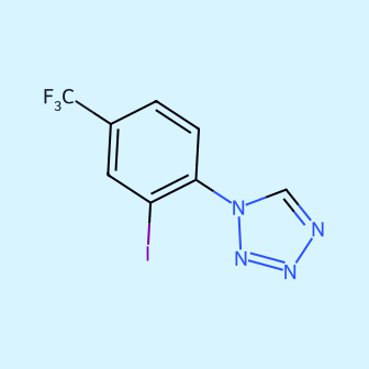 FC(F)(F)c1ccc(-n2cnnn2)c(I)c1